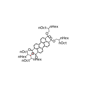 CCCCCCCCC(CCCCCC)COC(=O)c1ccc2c3ccc(C(=O)OCC(CCCCCC)CCCCCCCC)c4c(C(=O)OCC(CCCCCC)CCCCCCCC)ccc(c5ccc(C(=O)OCC(CCCCCC)CCCCCCCC)c1c25)c43